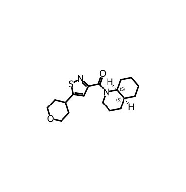 O=C(c1cc(C2CCOCC2)sn1)N1CCC[C@@H]2CCCC[C@@H]21